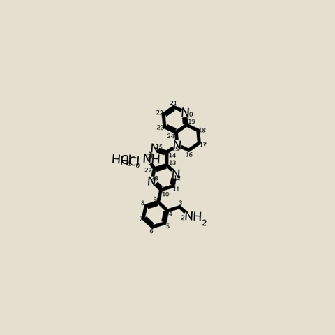 Cl.Cl.NCc1ccccc1-c1cnc2c(N3CCCc4ncccc43)n[nH]c2n1